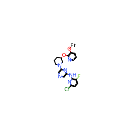 CCOc1cccnc1O[C@@H]1CCCN(c2cncc(Nc3nc(Cl)ccc3F)n2)C1